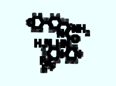 Nc1cc2ccc(C3CCOCC3)cc2nc1C(=O)Nc1cnccc1N1CC(N)CC(C(F)(F)F)C1